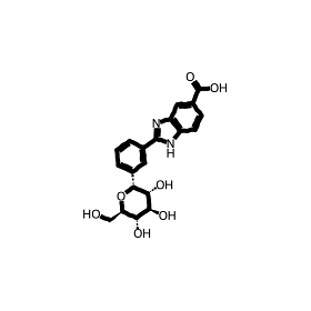 O=C(O)c1ccc2[nH]c(-c3cccc([C@H]4O[C@H](CO)[C@@H](O)[C@H](O)[C@H]4O)c3)nc2c1